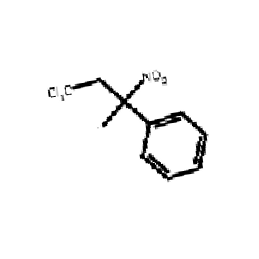 [CH2]C(CC(Cl)(Cl)Cl)(c1ccccc1)[N+](=O)[O-]